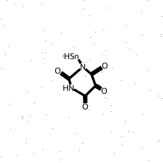 O=C1NC(=O)[N]([SnH])C(=O)C1=O